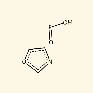 O=PO.c1cocn1